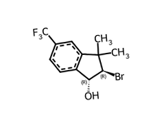 CC1(C)c2cc(C(F)(F)F)ccc2[C@@H](O)[C@@H]1Br